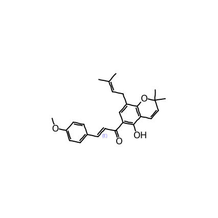 COc1ccc(/C=C/C(=O)c2cc(CC=C(C)C)c3c(c2O)C=CC(C)(C)O3)cc1